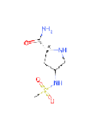 CS(=O)(=O)NC1CN[C@@H](C(N)=O)C1